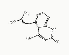 CC(C)Cc1cccc2c1C(N)=N[S+]([O-])N2